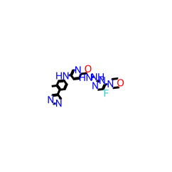 Cc1cc(Nc2ccc(C(=O)NNc3ncc(F)c(N4CCOCC4)n3)nc2)ccc1-c1cncnc1